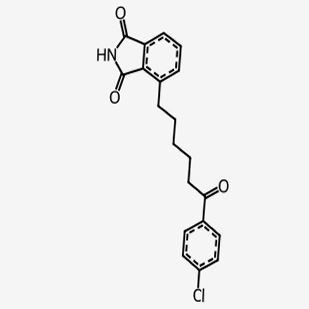 O=C(CCCCCc1cccc2c1C(=O)NC2=O)c1ccc(Cl)cc1